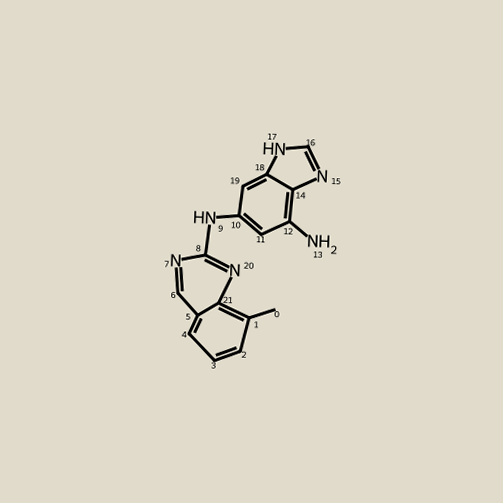 Cc1cccc2cnc(Nc3cc(N)c4nc[nH]c4c3)nc12